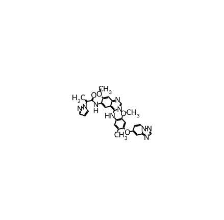 C=C(C(=O)Nc1cc2c(Nc3cc(C)c(Oc4ccn5ncnc5c4)cc3OC)ncnc2cc1OC)n1cccn1